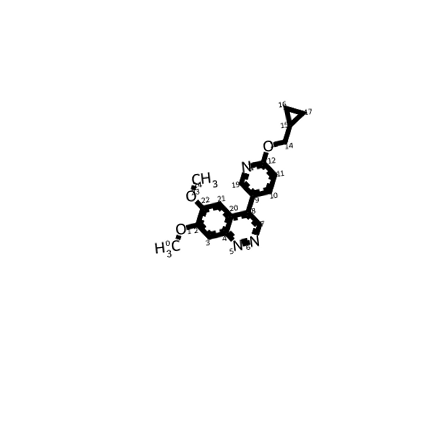 COc1cc2nncc(-c3ccc(OCC4CC4)nc3)c2cc1OC